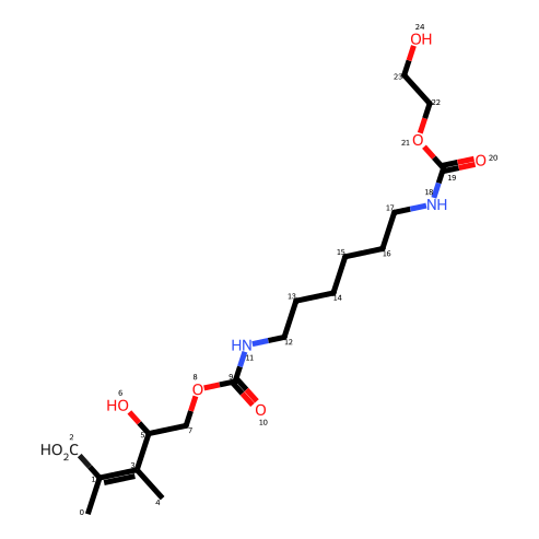 CC(C(=O)O)=C(C)C(O)COC(=O)NCCCCCCNC(=O)OCCO